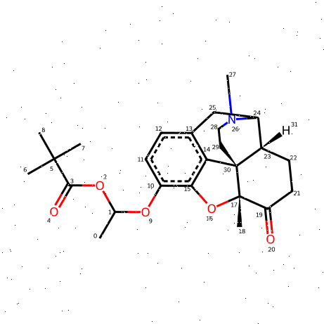 CC(OC(=O)C(C)(C)C)Oc1ccc2c3c1O[C@@]1(C)C(=O)CC[C@H]4C(C2)N(C)CC[C@@]341